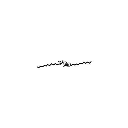 CCCCCCCCCCCCOCC(C)OC(C)COCCCCCCCCCCCC